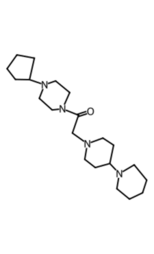 O=C(CN1CCC(N2CCCCC2)CC1)N1CCN(C2CCCC2)CC1